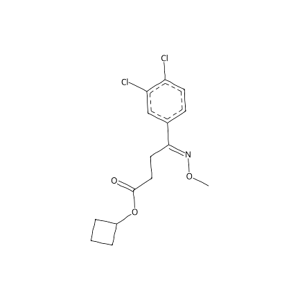 CON=C(CCC(=O)OC1CCC1)c1ccc(Cl)c(Cl)c1